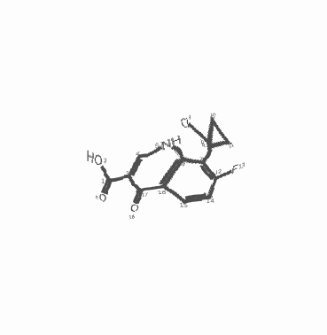 O=C(O)c1c[nH]c2c(C3(Cl)CC3)c(F)ccc2c1=O